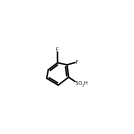 O=S(=O)(O)c1cccc(F)c1F